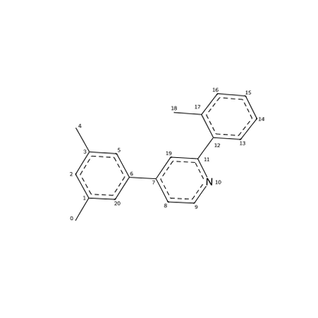 Cc1cc(C)cc(-c2ccnc(-c3ccccc3C)c2)c1